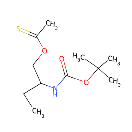 CCC(COC(C)=S)NC(=O)OC(C)(C)C